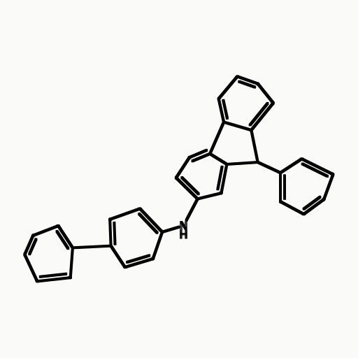 c1ccc(-c2ccc(Nc3ccc4c(c3)C(c3ccccc3)c3ccccc3-4)cc2)cc1